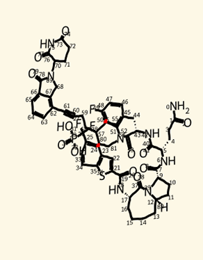 NC(=O)CC[C@H](NC(=O)[C@@H]1CC[C@@H]2CCCC[C@H](NC(=O)c3cc4cc(C(F)(F)P(=O)(O)O)ccc4s3)C(=O)N21)C(=O)N[C@@H](Cc1ccc(F)cc1)C(=O)N1CCC(CCC#Cc2cccc3c2CN(C2CCC(=O)NC2=O)C3=O)CC1